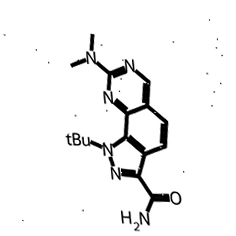 CN(C)c1ncc2ccc3c(C(N)=O)nn(C(C)(C)C)c3c2n1